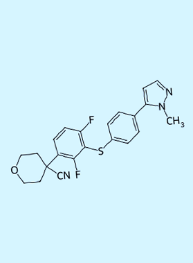 Cn1nccc1-c1ccc(Sc2c(F)ccc(C3(C#N)CCOCC3)c2F)cc1